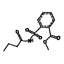 CCCC(=O)NS(=O)(=O)c1ccccc1C(=O)OC